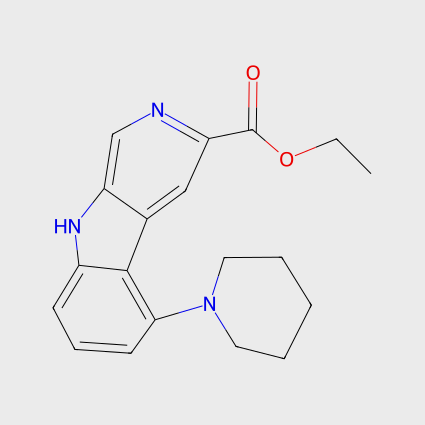 CCOC(=O)c1cc2c(cn1)[nH]c1cccc(N3CCCCC3)c12